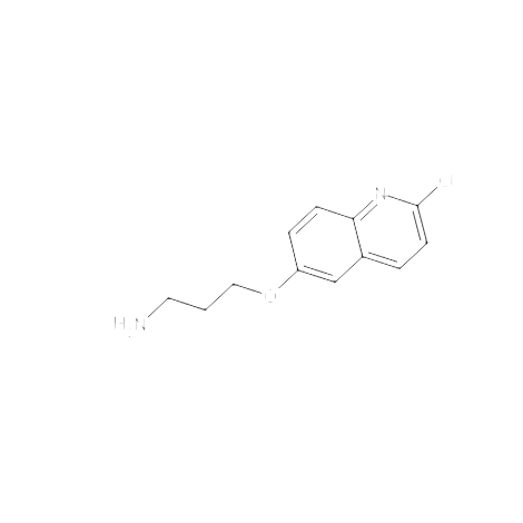 NCCCOc1ccc2nc(Cl)ccc2c1